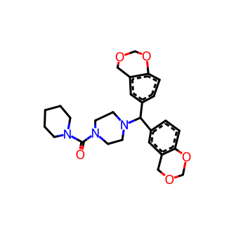 O=C(N1CCCCC1)N1CCN(C(c2ccc3c(c2)COCO3)c2ccc3c(c2)COCO3)CC1